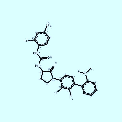 CP(C)c1ccccc1-c1ccc(N2CCC(NC(=O)Nc3ccc(C(F)(F)F)cc3F)C2=O)c(F)c1F